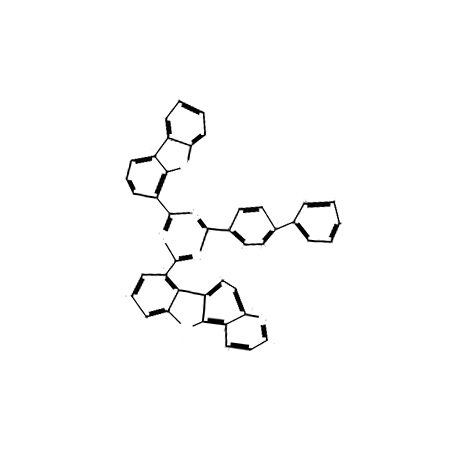 c1ccc(-c2ccc(-c3nc(-c4cccc5c4oc4ccccc45)nc(-c4cccc5oc6c7cccnc7ccc6c45)n3)cc2)cc1